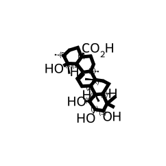 C[C@@H]1CC[C@]2(C(=O)O)CC[C@]3(C)C(=CC[C@@H]4[C@@]5(C)[C@H](O)[C@@H](O)[C@@H](O)C(C)(C)[C@@H]5CC[C@]43C)[C@@H]2[C@]1(C)O